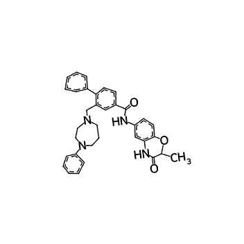 CC1Oc2ccc(NC(=O)c3ccc(-c4ccccc4)c(CN4CCCN(c5ccccc5)CC4)c3)cc2NC1=O